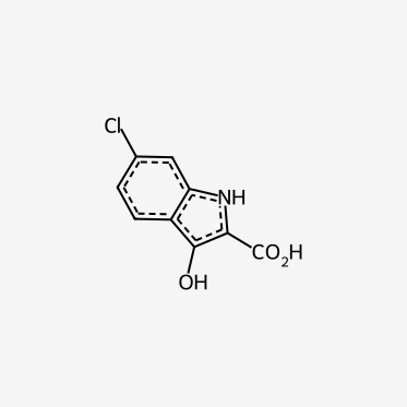 O=C(O)c1[nH]c2cc(Cl)ccc2c1O